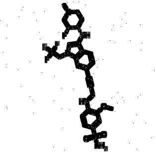 COc1cc(S(N)(=O)=O)ccc1NCC#Cc1ccc2c(N[C@H]3CCN(C)C[C@@H]3F)cn(CC(F)(F)F)c2c1